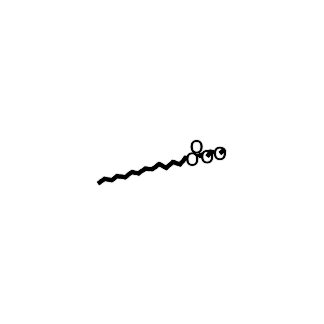 CCCCCCCCCCCCCCOC(=O)OCOC